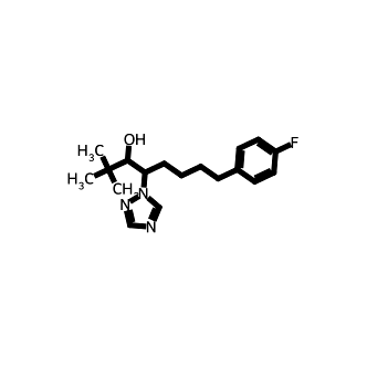 CC(C)(C)C(O)C(CCCCc1ccc(F)cc1)n1cncn1